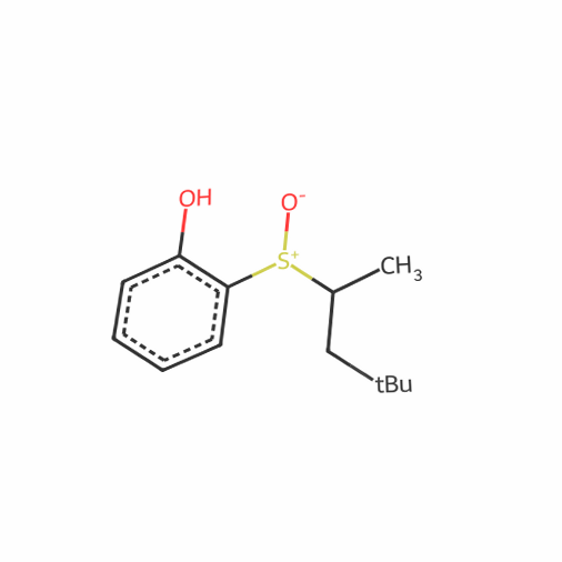 CC(CC(C)(C)C)[S+]([O-])c1ccccc1O